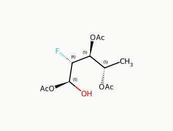 CC(=O)O[C@H]([C@@H](F)[C@@H](O)OC(C)=O)[C@H](C)OC(C)=O